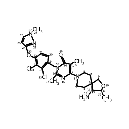 Cc1c(N2CCC3(CC2)CO[C@@H](C)[C@H]3N)nc(C)n(-c2ccc(Oc3ccn(C)n3)c(Cl)c2Cl)c1=O